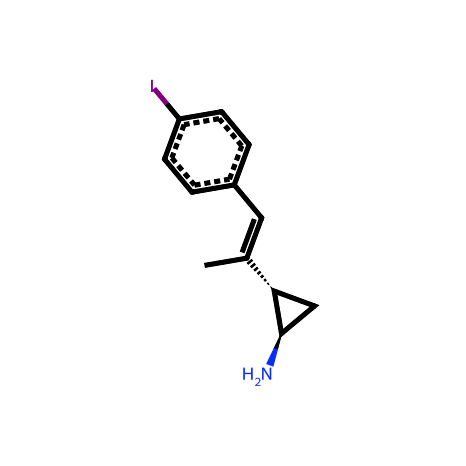 C/C(=C\c1ccc(I)cc1)[C@@H]1C[C@H]1N